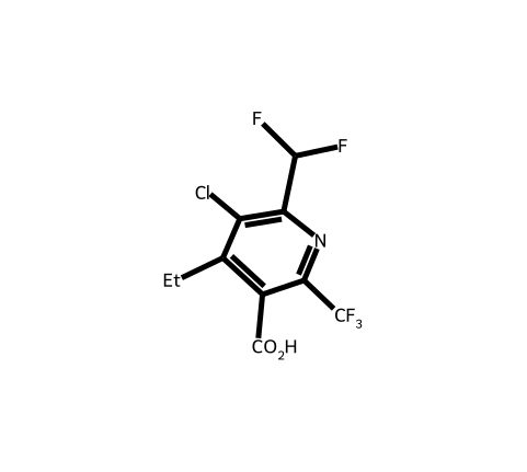 CCc1c(Cl)c(C(F)F)nc(C(F)(F)F)c1C(=O)O